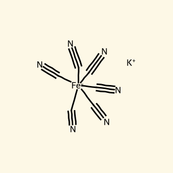 N#[C][Fe-]([C]#N)([C]#N)([C]#N)([C]#N)[C]#N.[K+]